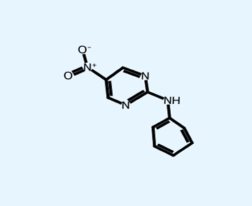 O=[N+]([O-])c1cnc(Nc2ccccc2)nc1